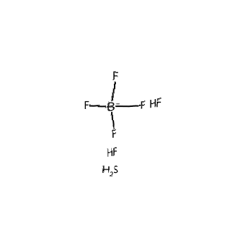 F.F.F[B-](F)(F)F.S